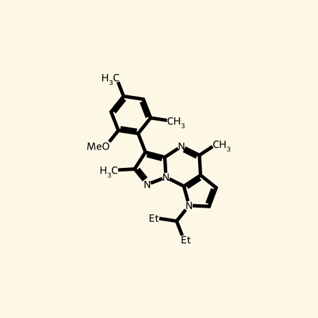 CCC(CC)n1ccc2c(C)nc3c(-c4c(C)cc(C)cc4OC)c(C)nn3c21